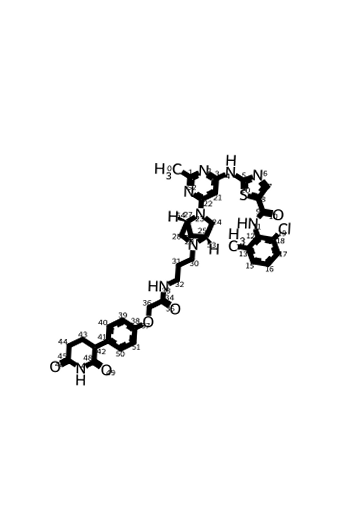 Cc1nc(Nc2ncc(C(=O)Nc3c(C)cccc3Cl)s2)cc(N2C[C@H]3C[C@@H]2CN3CCCNC(=O)COc2ccc(C3CCC(=O)NC3=O)cc2)n1